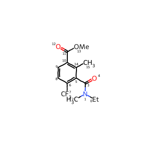 CCN(C)C(=O)c1c(C(F)(F)F)ccc(C(=O)OC)c1C